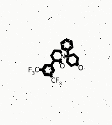 O=C1CCC(c2ccccc2)(N2CCCC(c3cc(C(F)(F)F)cc(C(F)(F)F)c3)C2=O)CC1